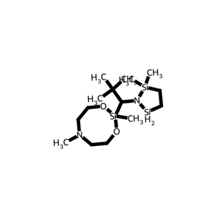 CN1CCO[Si](C)(C(N2[SiH2]CC[Si]2(C)C)C(C)(C)C)OCC1